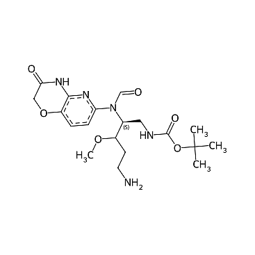 COC(CCN)[C@H](CNC(=O)OC(C)(C)C)N(C=O)c1ccc2c(n1)NC(=O)CO2